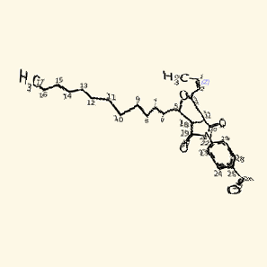 C/C=C\C1OC(CCCCCCCCCCCC)C2C(=O)N(c3ccc(C=O)cc3)C(=O)C12